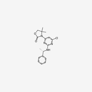 C[C@H](Nc1nc(Cl)cc(N2C(=O)OCC2(C)C)n1)c1ccccc1